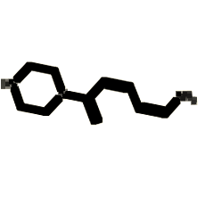 C=C(/C=C\C=C/N)N1CCNCC1